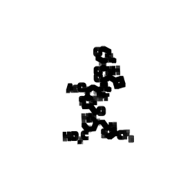 CC(=O)O[C@H](C[C@H](C(C)C)N(C)C(=O)[C@@H](NC(=O)[C@H]1COCCN1C)C1CCC1)c1nc(C(=O)N[C@@H](Cc2nc(C(F)(F)F)cs2)C[C@H](C)C(=O)O)cs1